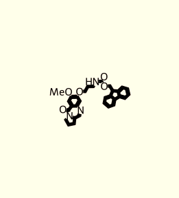 COc1cc2c(cc1OCCCNC(=O)OCC1c3ccccc3-c3ccccc31)N=CC1CCCN1C2=O